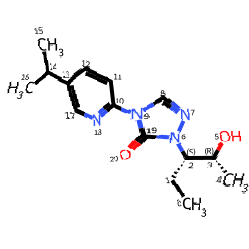 CC[C@@H]([C@@H](C)O)n1ncn(-c2ccc(C(C)C)cn2)c1=O